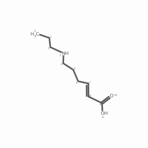 CCCNCCCC=CC(=O)O